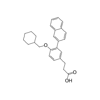 O=C(O)CCc1ccc(OCC2CCCCC2)c(-c2ccc3ccccc3c2)c1